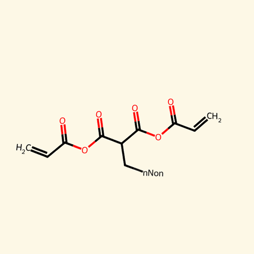 C=CC(=O)OC(=O)C(CCCCCCCCCC)C(=O)OC(=O)C=C